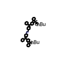 CCCCOSn1c2ccccc2c2cc(N(c3ccccc3)c3ccc(/C=C/c4ccc(N(c5ccccc5)c5ccc6c(c5)c5ccccc5n6CCCC)cc4)cc3)ccc21